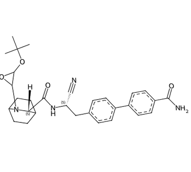 CC(C)(C)OC1OC1N1C2CCC(CC2)[C@H]1C(=O)N[C@H](C#N)Cc1ccc(-c2ccc(C(N)=O)cc2)cc1